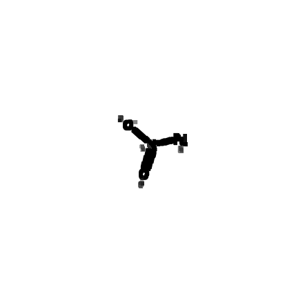 O=[N+]([O-])[Pd]